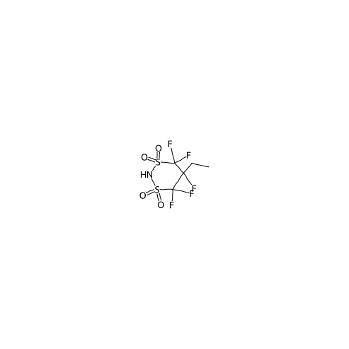 CCC1(F)C(F)(F)S(=O)(=O)NS(=O)(=O)C1(F)F